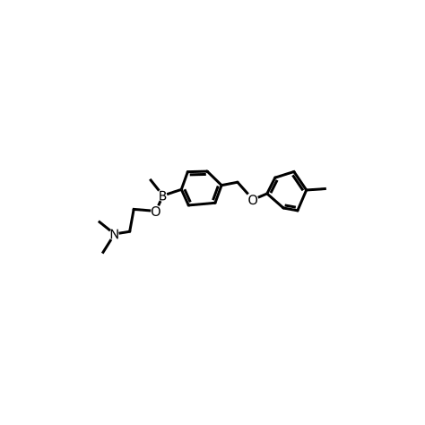 CB(OCCN(C)C)c1ccc(COc2ccc(C)cc2)cc1